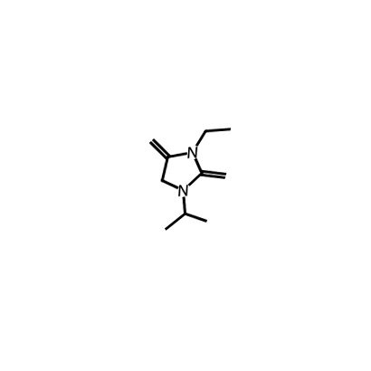 C=C1CN(C(C)C)C(=C)N1CC